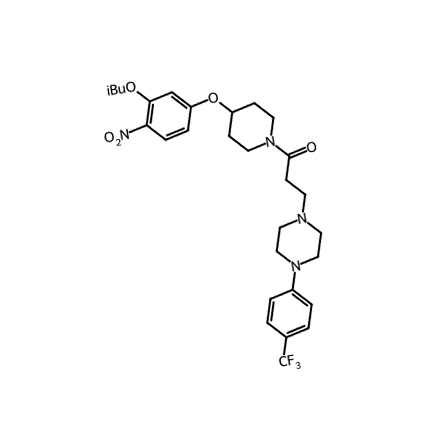 CC(C)COc1cc(OC2CCN(C(=O)CCN3CCN(c4ccc(C(F)(F)F)cc4)CC3)CC2)ccc1[N+](=O)[O-]